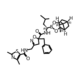 Cc1nc(C)c(C(=O)NCC2=NOC(Cc3ccccc3)(C(=O)N[C@@H](CC(C)C)B3O[C@@H]4C[C@@H]5C[C@@H](C5(C)C)[C@]4(C)O3)C2)s1